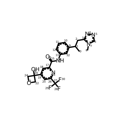 CC(Cc1nncn1C)c1cccc(NC(=O)c2cc(C3(O)COC3)cc(C(F)(F)F)n2)c1